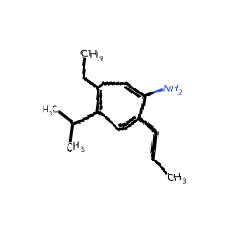 CCCc1cc(C(C)C)c(CC)cc1N